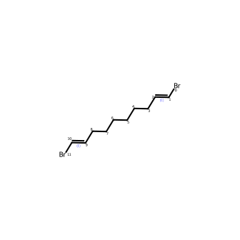 Br/C=C/CCCCCC/C=C/Br